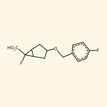 O=C(O)C1(F)C2CC(OCc3ccc(F)cc3)CC21